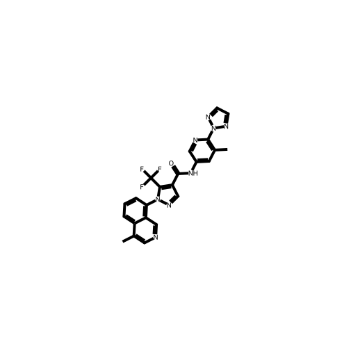 Cc1cc(NC(=O)c2cnn(-c3cccc4c(C)cncc34)c2C(F)(F)F)cnc1-n1nccn1